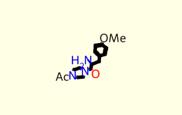 COc1ccc(C[C@H](N)C(=O)N2CCN(C(C)=O)CC2)cc1